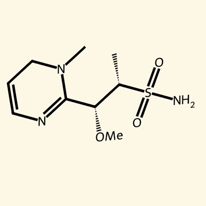 CO[C@H](C1=NC=CCN1C)[C@H](C)S(N)(=O)=O